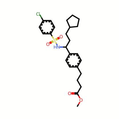 COC(=O)CCCc1ccc(C(CCC2CCCC2)NS(=O)(=O)c2ccc(Cl)cc2)cc1